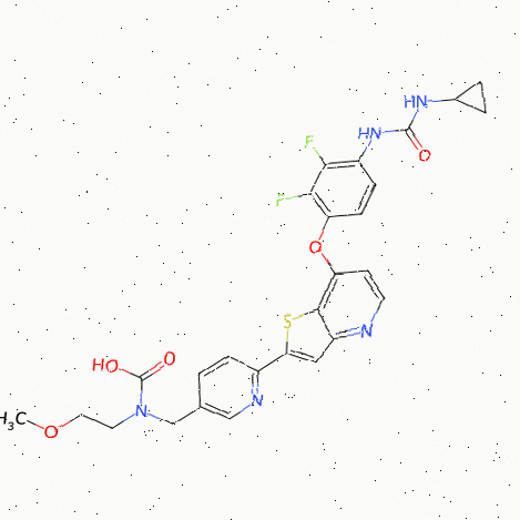 COCCN(Cc1ccc(-c2cc3nccc(Oc4ccc(NC(=O)NC5CC5)c(F)c4F)c3s2)nc1)C(=O)O